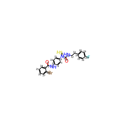 O=C(Nc1ccc(N(S)C(=O)NCCc2ccc(F)cc2)cc1)c1ccccc1Br